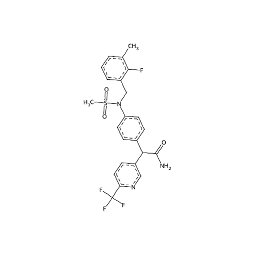 Cc1cccc(CN(c2ccc(C(C(N)=O)c3ccc(C(F)(F)F)nc3)cc2)S(C)(=O)=O)c1F